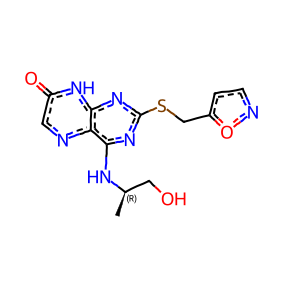 C[C@H](CO)Nc1nc(SCc2ccno2)nc2[nH]c(=O)cnc12